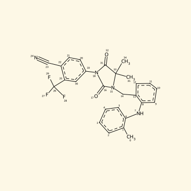 Cc1ccccc1Nc1ccccc1CN1C(=O)N(c2ccc(C#N)c(C(F)(F)F)c2)C(=O)C1(C)C